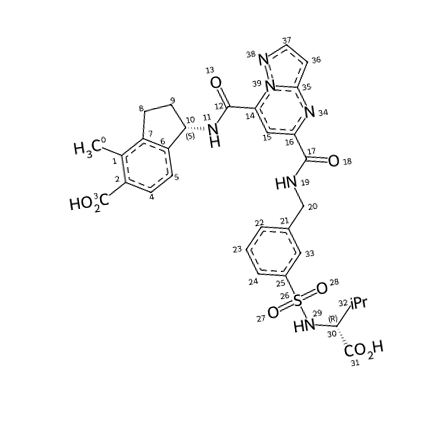 Cc1c(C(=O)O)ccc2c1CC[C@@H]2NC(=O)c1cc(C(=O)NCc2cccc(S(=O)(=O)N[C@@H](C(=O)O)C(C)C)c2)nc2ccnn12